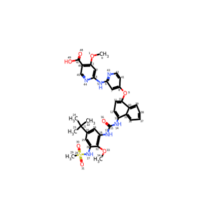 COc1cc(Nc2cc(Oc3ccc(NC(=O)Nc4cc(C(C)(C)C)cc(NS(C)(=O)=O)c4OC)c4ccccc34)ccn2)ncc1C(=O)O